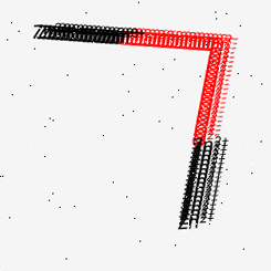 [O-2].[O-2].[O-2].[O-2].[O-2].[O-2].[O-2].[O-2].[O-2].[O-2].[O-2].[O-2].[O-2].[O-2].[O-2].[O-2].[O-2].[O-2].[O-2].[O-2].[O-2].[O-2].[O-2].[O-2].[O-2].[O-2].[O-2].[O-2].[O-2].[O-2].[O-2].[O-2].[O-2].[O-2].[O-2].[O-2].[O-2].[O-2].[O-2].[O-2].[O-2].[O-2].[O-2].[O-2].[Zn+2].[Zn+2].[Zn+2].[Zn+2].[Zn+2].[Zn+2].[Zn+2].[Zn+2].[Zn+2].[Zn+2].[Zn+2].[Zn+2].[Zn+2].[Zn+2].[Zn+2].[Zn+2].[Zn+2].[Zn+2].[Zn+2].[Zn+2].[Zn+2].[Zn+2].[Zn+2].[Zn+2].[Zn+2].[Zn+2].[Zn+2].[Zn+2].[Zn+2].[Zn+2].[Zn+2].[Zn+2].[Zn+2].[Zn+2].[Zn+2].[Zn+2]